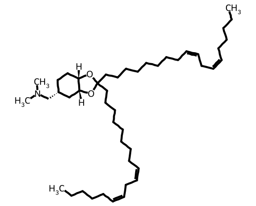 CCCCC/C=C\C/C=C\CCCCCCCCC1(CCCCCCCC/C=C\C/C=C\CCCCC)O[C@H]2CC[C@@H](CN(C)C)C[C@H]2O1